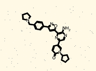 Nc1ncc(-c2ccc(=O)n(C3CCCC3)c2)nc1-c1cc(-c2ccc(CN3CCCC3)cc2)no1